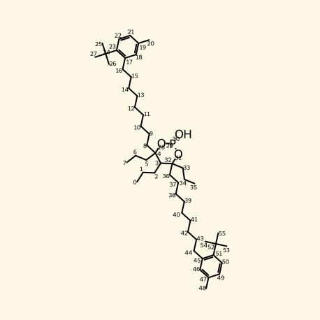 CCCC1C(CCC)(CCCCCCCCCc2cc(C)ccc2C(C)(C)C)OP(O)OC1(CCC)CCCCCCCCCc1cc(C)ccc1C(C)(C)C